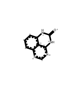 O=C1Nc2cccc3ncnc(c23)N1